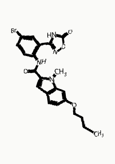 CCCCOc1ccc2cc(C(=O)Nc3ccc(Br)cc3-c3noc(=O)[nH]3)n(C)c2c1